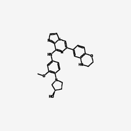 COc1cc(Nc2nc(-c3ccc4c(c3)NCCO4)cn3ccnc23)ccc1N1CC[C@@H](O)C1